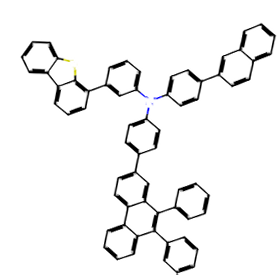 c1ccc(-c2c(-c3ccccc3)c3cc(-c4ccc(N(c5ccc(-c6ccc7ccccc7c6)cc5)c5cccc(-c6cccc7c6sc6ccccc67)c5)cc4)ccc3c3ccccc23)cc1